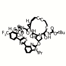 CC(C)n1c(O[C@@H]2C[C@H]3C(=O)N[C@]4(C(=O)NS(=O)(=O)N(C)C)C[C@H]4/C=C\CCCCC[C@H](NC(=O)OC(C)(C)C)C(=O)N3C2)nc2c(-c3nc(-c4ccc(C(F)(F)F)cc4)cs3)cccc21